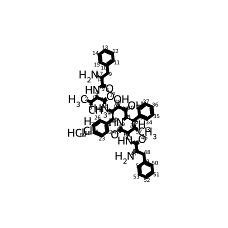 CC(C)[C@H](NC(=O)[C@@H](N)Cc1ccccc1)C(=O)N[C@H](Cc1ccccc1)[C@H](O)[C@@H](O)[C@@H](Cc1ccccc1)NC(=O)[C@@H](NC(=O)[C@@H](N)Cc1ccccc1)C(C)C.Cl.Cl